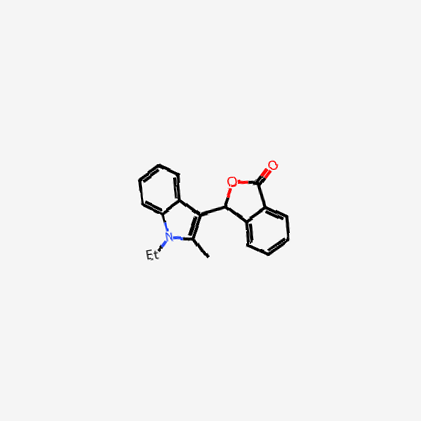 CCn1c(C)c(C2OC(=O)c3ccccc32)c2ccccc21